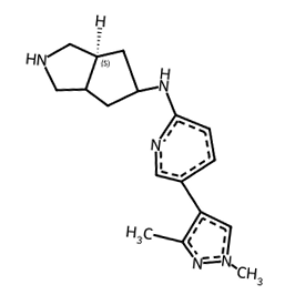 Cc1nn(C)cc1-c1ccc(NC2CC3CNC[C@H]3C2)nc1